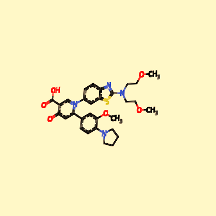 COCCN(CCOC)c1nc2ccc(-n3cc(C(=O)O)c(=O)cc3-c3ccc(N4CCCC4)c(OC)c3)cc2s1